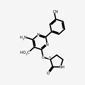 N#Cc1cccc(-c2nc(N)c(C(=O)O)c(O[C@H]3CCNC3=O)n2)c1